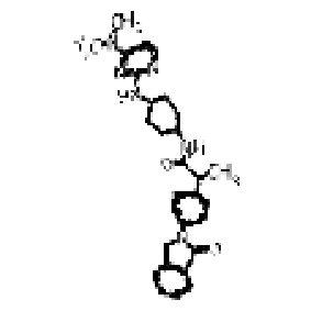 CC(C(=O)NC1CCC(Nc2nccc(N(C)C)n2)CC1)c1ccc(N2Cc3ccccc3C2=O)cc1